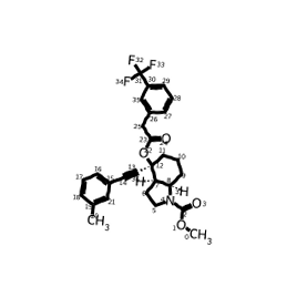 COC(=O)N1CC[C@@H]2[C@H]1CCC[C@]2(C#Cc1cccc(C)c1)OC(=O)Cc1cccc(C(F)(F)F)c1